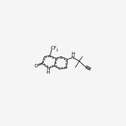 C#CC(C)(C)Nc1ccc2[nH]c(=O)cc(C(F)(F)F)c2c1